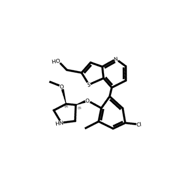 CO[C@@H]1CNC[C@@H]1Oc1c(C)cc(Cl)cc1-c1ccnc2cc(CO)sc12